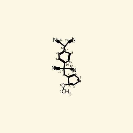 COc1ccccc1CC(C#N)(C#N)c1ccc(C(C#N)C#N)cc1